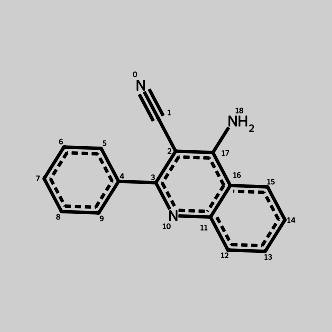 N#Cc1c(-c2ccccc2)nc2ccccc2c1N